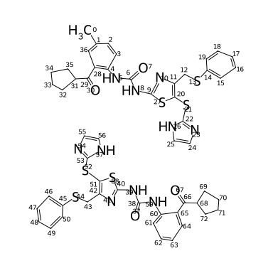 Cc1ccc(NC(=O)Nc2nc(CSc3ccccc3)c(Sc3ncc[nH]3)s2)c(C(=O)C2CCCC2)c1.O=C(Nc1nc(CSc2ccccc2)c(Sc2ncc[nH]2)s1)Nc1ccccc1C(=O)C1CCCC1